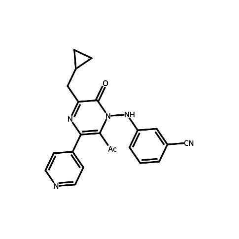 CC(=O)c1c(-c2ccncc2)nc(CC2CC2)c(=O)n1Nc1cccc(C#N)c1